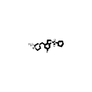 C[C@@H]1CN(Cc2cc(F)cc3c2ccn3S(=O)(=O)c2ccccc2)CCN1